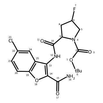 CC(C)(C)OC(=O)N1CC(F)CC1C(=O)Nc1c(C(N)=O)oc2ccc(Cl)cc12